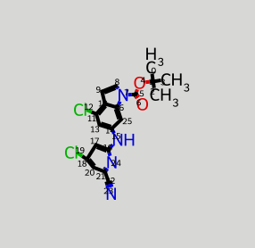 CC(C)(C)OC(=O)n1ccc2c(Cl)cc(Nc3cc(Cl)cc(C#N)n3)cc21